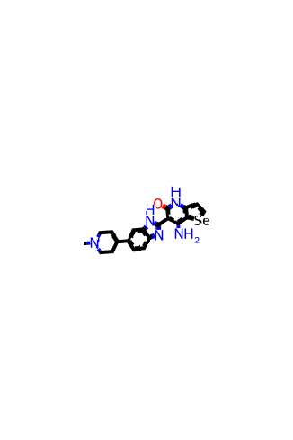 CN1CCC(c2ccc3nc(-c4c(N)c5[se]ccc5[nH]c4=O)[nH]c3c2)CC1